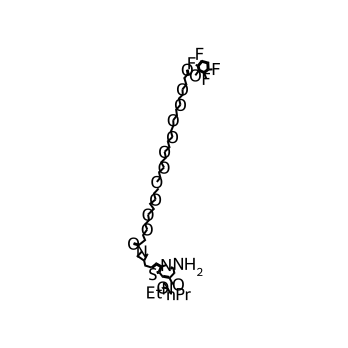 CCCN(OCC)C(=O)C1=Cc2sc(CC3CN(C(=O)CCOCCOCCOCCOCCOCCOCCOCCOCCOCCOCCC(=O)Oc4c(F)c(F)cc(F)c4F)C3)cc2N=C(N)C1